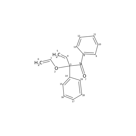 C=COC(C=C)(C(=O)c1ccccc1)c1ccccc1